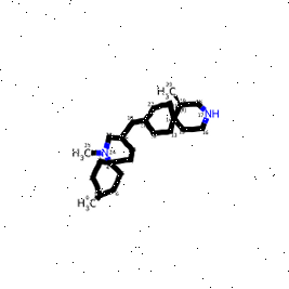 CC1CCC2(CC1)CCC(CC1CCC3(CCNC[C@@H]3C)CC1)CN2C